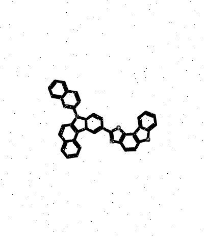 C1=CC2C(C=C1c1nc3ccc4oc5ccccc5c4c3o1)c1c(ccc3ccccc13)N2c1ccc2ccccc2c1